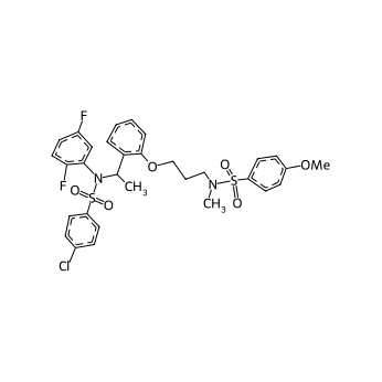 COc1ccc(S(=O)(=O)N(C)CCCOc2ccccc2C(C)N(c2cc(F)ccc2F)S(=O)(=O)c2ccc(Cl)cc2)cc1